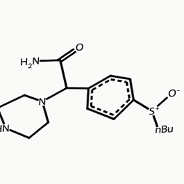 CCCC[S+]([O-])c1ccc(C(C(N)=O)N2CCNCC2)cc1